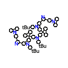 CC(C)(C)c1ccc(N(c2ccc(C3(c4ccc5c(c4)c4cc(-c6cncc(-c7ccc(-n8c9ccccc9c9ccccc98)cc7)c6)ccc4n5-c4ccc(C(C)(C)C)cc4)c4ccccc4-c4ccccc43)cc2)c2ccc(C3(c4ccc5c(c4)c4cc(-c6cncc(-c7ccc(-n8c9ccccc9c9ccccc98)cc7)c6)ccc4n5-c4ccc(C(C)(C)C)cc4)c4ccccc4-c4ccccc43)cc2)cc1